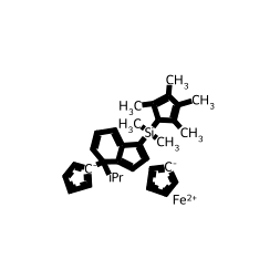 CC1=C(C)C([Si](C)(C)C2=CC=C3C2=CC=CC3([c-]2cccc2)C(C)C)C(C)=C1C.[Fe+2].c1cc[cH-]c1